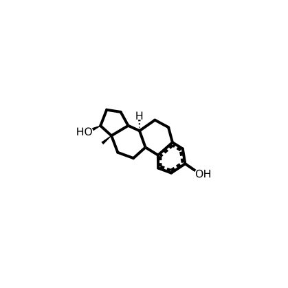 C[C@]12CCC3c4ccc(O)cc4CC[C@@H]3C1CC[C@@H]2O